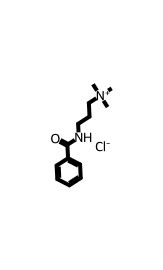 C[N+](C)(C)CCCNC(=O)c1ccccc1.[Cl-]